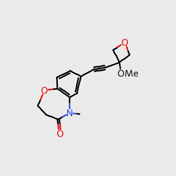 COC1(C#Cc2ccc3c(c2)N(C)C(=O)CCO3)COC1